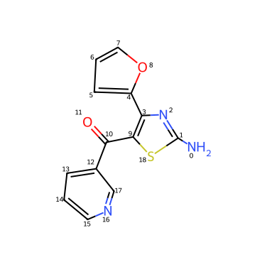 Nc1nc(-c2ccco2)c(C(=O)c2cccnc2)s1